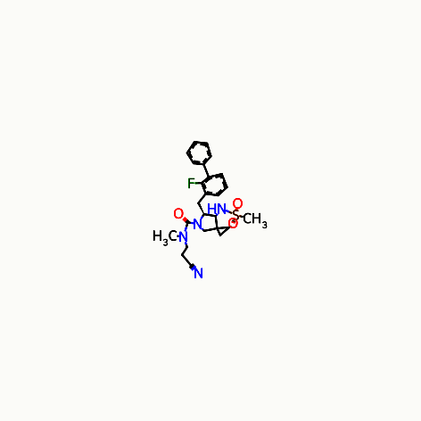 CN(CCC#N)C(=O)N1CC2(CC2)[C@H](NS(C)(=O)=O)[C@@H]1Cc1cccc(-c2ccccc2)c1F